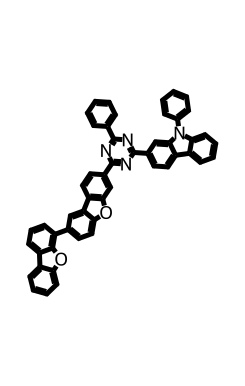 c1ccc(-c2nc(-c3ccc4c(c3)oc3ccc(-c5cccc6c5oc5ccccc56)cc34)nc(-c3ccc4c5ccccc5n(-c5ccccc5)c4c3)n2)cc1